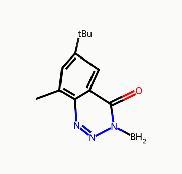 Bn1nnc2c(C)cc(C(C)(C)C)cc2c1=O